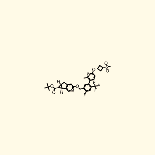 Cc1nc(O[C@H]2C[C@H](S(C)(=O)=O)C2)ccc1-c1cc(COc2cc3c(cn2)[C@H]2[C@@H](C3)[C@@H]2C(=O)OC(C)(C)C)c(F)cc1C(F)(F)F